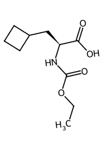 CCOC(=O)N[C@@H](CC1CCC1)C(=O)O